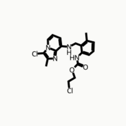 Cc1cccc(NC(=O)OCCCl)c1CNc1cccn2c(Cl)c(C)nc12